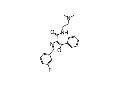 CN(C)CCNC(=O)c1nc(-c2cccc(F)c2)oc1-c1ccccc1